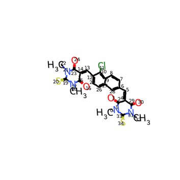 CN1C(=O)C(=Cc2ccc3c(Cl)c(C=C4C(=O)N(C)C(=S)N(C)C4=O)ccc3c2)C(=O)N(C)C1=S